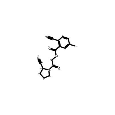 N#Cc1ccc(I)cc1C(=O)NCC(=O)N1CCCC1C#N